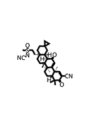 CC1(C)C(=O)C(C#N)=C[C@]2(C)C3=CC(=O)[C@@H]4[C@@H]5CC6(CC6)CC[C@]5(CCS(C)(=O)=NC#N)CC[C@@]4(C)[C@]3(C)CC[C@@H]12